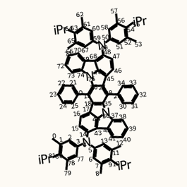 Cc1cc(N(c2cc(C)c(C(C)C)c(C)c2)c2ccc3c4c(-c5ccccc5)c5c(c(-c6ccccc6)c4n4c6ccccc6c2c34)c2ccc(N(c3cc(C)c(C(C)C)c(C)c3)c3cc(C)c(C(C)C)c(C)c3)c3c4ccccc4n5c23)cc(C)c1C(C)C